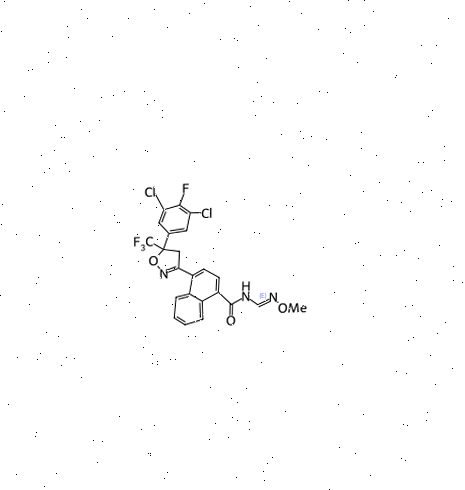 CO/N=C/NC(=O)c1ccc(C2=NOC(c3cc(Cl)c(F)c(Cl)c3)(C(F)(F)F)C2)c2ccccc12